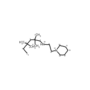 CC(C)(CI)CC(C)(C)CNCCN1CCCCC1